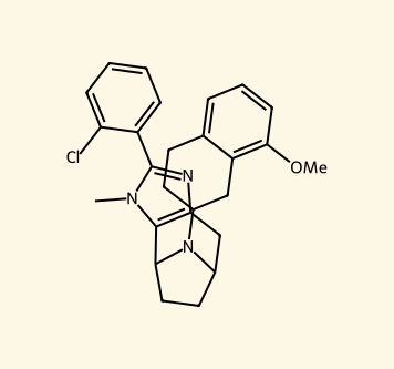 COc1cccc2c1CC(N1C3CCC1c1c(nc(-c4ccccc4Cl)n1C)C3)CC2